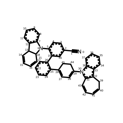 N#Cc1ccc(N2c3ccccc3C3C=CC=CC32)c(-c2ccccc2C2=CC=C(n3c4c(c5ccccc53)CC=CC=C4)CC2)c1